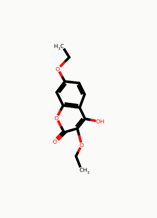 CCOc1ccc2c(O)c(OCC)c(=O)oc2c1